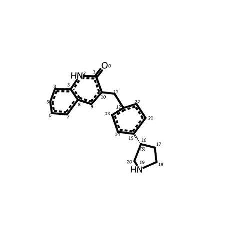 O=c1[nH]c2ccccc2cc1Cc1ccc([C@@H]2CCNC2)cc1